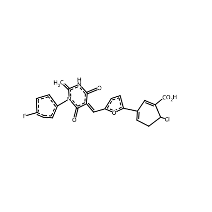 C=c1[nH]c(=O)/c(=C\c2ccc(C3=CCC(Cl)C(C(=O)O)=C3)o2)c(=O)n1-c1ccc(F)cc1